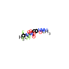 CNC(=O)Nc1ccc2c(c1)C=CC21OC(=O)N(CC(=O)N(Cc2cc(F)ccc2F)[C@@H](C)C(F)(F)F)C1=O